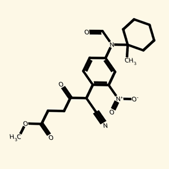 COC(=O)CCC(=O)C(C#N)c1ccc(N(C=O)C2(C)CCCCC2)cc1[N+](=O)[O-]